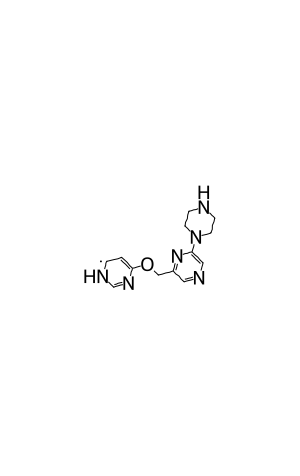 [CH]1C=C(OCc2cncc(N3CCNCC3)n2)N=CN1